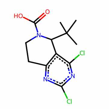 CC(C)(C)C1c2c(Cl)nc(Cl)nc2CCN1C(=O)O